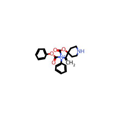 C=C1C2(CCNCC2)OC(=O)[N+]1(C(=O)Oc1ccccc1)c1ccccc1